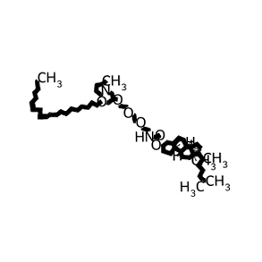 CCCCC/C=C\C/C=C\CCCCCCCCCCOCC(CN1CCCC1C)OCCOCCOCCNC(=O)O[C@H]1CC[C@@]2(C)C(=CC[C@H]3[C@@H]4CC[C@H]([C@H](C)CCCC(C)C)[C@@]4(C)CC[C@@H]32)C1